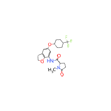 CN1C(=O)CCC1C(=O)Nc1cc(OC2CCC(C(F)(F)F)CC2)cc2c1OCC2